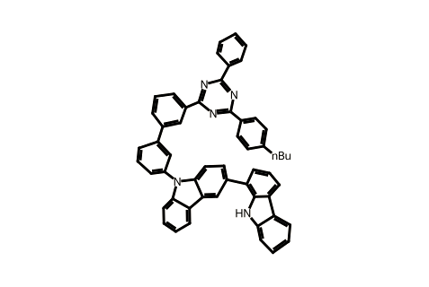 CCCCc1ccc(-c2nc(-c3ccccc3)nc(-c3cccc(-c4cccc(-n5c6ccccc6c6cc(-c7cccc8c7[nH]c7ccccc78)ccc65)c4)c3)n2)cc1